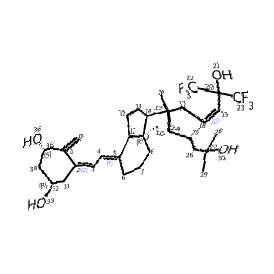 C=C1/C(=C\C=C2/CCC[C@@]3(C)C2CCC3C(C)(C/C=C\C(O)(C(F)(F)F)C(F)(F)F)CCCC(C)(C)O)C[C@@H](O)C[C@@H]1O